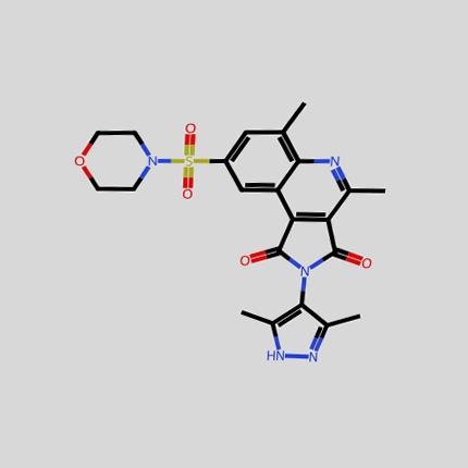 Cc1nc2c(C)cc(S(=O)(=O)N3CCOCC3)cc2c2c1C(=O)N(c1c(C)n[nH]c1C)C2=O